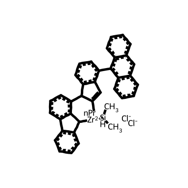 CCCC1=Cc2c(-c3c4ccccc4cc4ccccc34)cccc2C1c1cccc2c1[CH]([Zr+2][SiH](C)C)c1ccccc1-2.[Cl-].[Cl-]